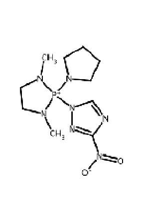 CN1CCN(C)[P+]1(N1CCCC1)n1cnc([N+](=O)[O-])n1